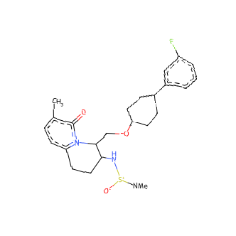 CN[S+]([O-])NC1CCc2ccc(C)c(=O)n2C1COC1CCC(c2cccc(F)c2)CC1